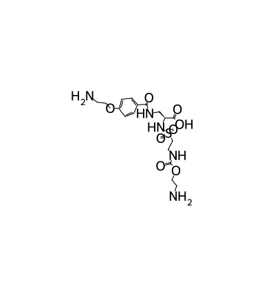 NCCOC(=O)NCCS(=O)(=O)N[C@@H](CNC(=O)c1ccc(OCCN)cc1)C(=O)O